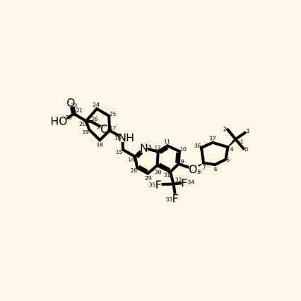 CC(C)(C)[C@H]1CC[C@H](Oc2ccc3nc(CNC45CCC(C(=O)O)(CC4)CC5)ccc3c2C(F)(F)F)CC1